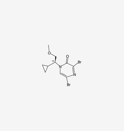 COC[C@H](C1CC1)n1cc(Br)nc(Br)c1=O